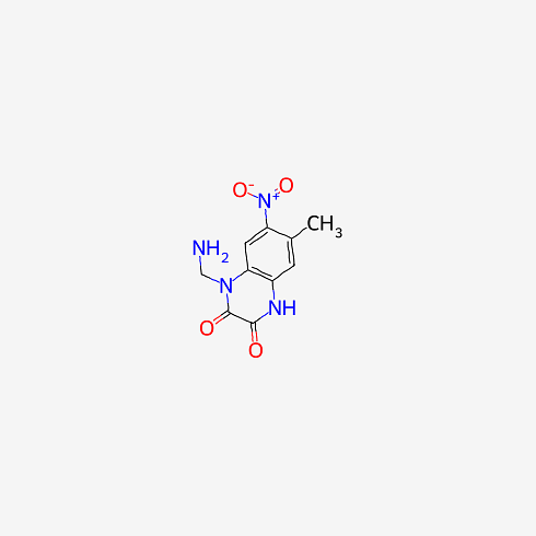 Cc1cc2[nH]c(=O)c(=O)n(CN)c2cc1[N+](=O)[O-]